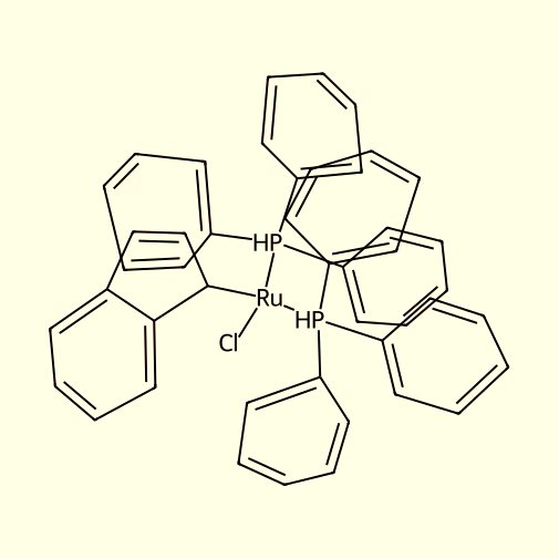 [Cl][Ru]([CH]1C=Cc2ccccc21)([PH](c1ccccc1)(c1ccccc1)c1ccccc1)[PH](c1ccccc1)(c1ccccc1)c1ccccc1